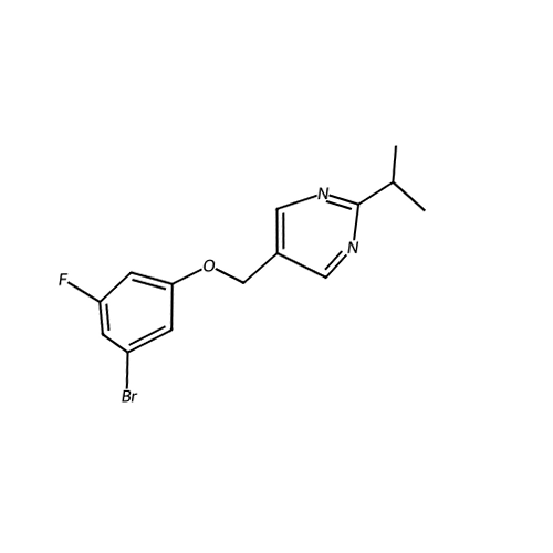 CC(C)c1ncc(COc2cc(F)cc(Br)c2)cn1